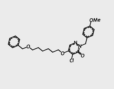 COc1ccc(Cn2ncc(OCCCCCCOCc3ccccc3)c(Cl)c2=O)cc1